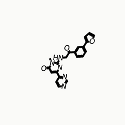 Cn1c(NCC(=O)c2cccc(-c3ccco3)c2)nc(-c2ccncn2)cc1=O